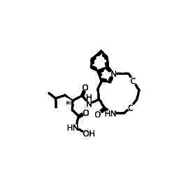 CC(C)C[C@H](CC(=O)NO)C(=O)NC1Cc2cn(c3ccccc23)CCCCCCNC1=O